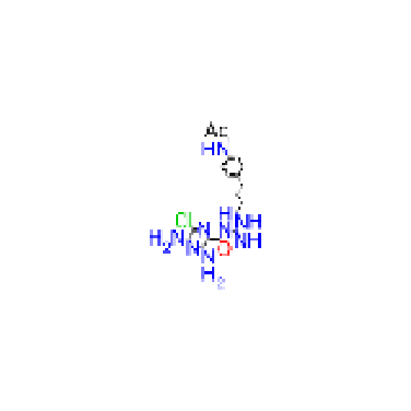 CC(=O)CNc1ccc(CCCCNC(=N)NC(=O)c2nc(Cl)c(N)nc2N)cc1